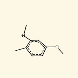 C[N]c1cc(OC)ccc1C